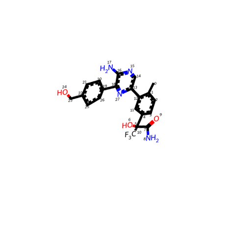 Cc1ccc(C(O)(C(N)=O)C(F)(F)F)cc1-c1cnc(N)c(-c2ccc(CO)cc2)n1